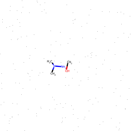 CN(C)N.CO